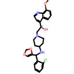 COc1cccc2c([C@@H](O)CN3CCC(NC(C4=COCO4)c4ccccc4Cl)CC3)ccnc12